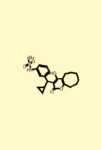 CCCCS(=O)(=O)Nc1cccc(C(c2c(O)c3c(oc2=O)CCCCCC3)C2CC2)c1